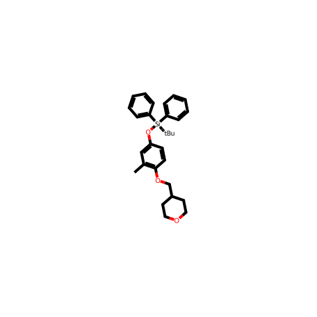 Cc1cc(O[Si](c2ccccc2)(c2ccccc2)C(C)(C)C)ccc1OCC1CCOCC1